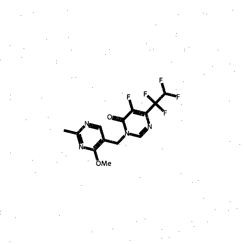 COc1nc(C)ncc1Cn1cnc(C(F)(F)C(F)F)c(F)c1=O